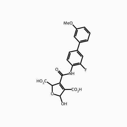 COc1cccc(-c2ccc(NC(=O)C3=C(C(=O)O)C(O)OC3C(=O)O)c(F)c2)c1